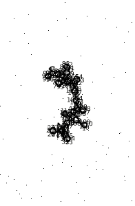 c1ccc(-c2ccc([Si](c3ccccc3)(c3ccc(-c4nc(-c5ccccc5)nc(-c5ccccc5)n4)cc3)c3ccc4c(c3)c3ccccc3n4-c3ccc(-c4ccc(-n5c6ccccc6c6cc([Si](c7ccccc7)(c7ccc8ccccc8c7)c7ccc8sc9ccccc9c8c7)ccc65)cc4)cc3)cc2)cc1